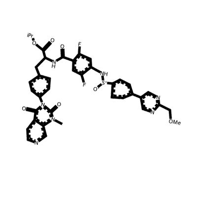 COCc1ncc(-c2ccc([S+]([O-])Nc3cc(F)c(C(=O)NC(Cc4ccc(-n5c(=O)c6ccncc6n(C)c5=O)cc4)C(=O)OC(C)C)cc3F)cc2)cn1